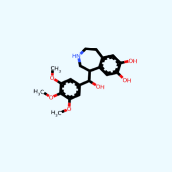 COc1cc(C(O)C2CNCCc3cc(O)c(O)cc32)cc(OC)c1OC